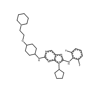 Fc1cccc(F)c1Nc1nc2cnc(NC3CCC(OCCN4CCCCC4)CC3)nc2n1C1CCCC1